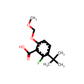 COCOc1ccc(C(C)(C)C)c(F)c1C(=O)O